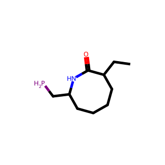 CCC1CCCCC(CP)NC1=O